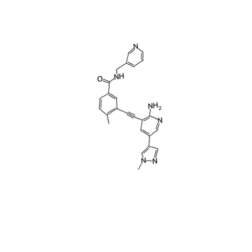 Cc1ccc(C(=O)NCc2cccnc2)cc1C#Cc1cc(-c2cnn(C)c2)cnc1N